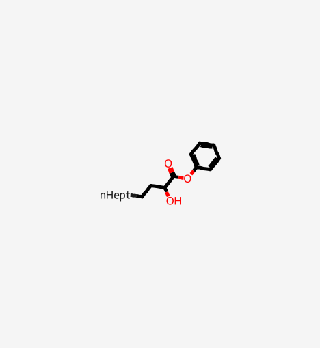 CCCCCCCCCC(O)C(=O)Oc1ccccc1